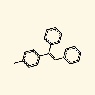 Cc1ccc(C(=Cc2ccccc2)c2ccccc2)cc1